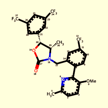 COc1ccc(C)nc1-c1ccc(C(F)(F)F)cc1CN1C(=O)O[C@H](c2cc(C(F)(F)F)cc(C(F)(F)F)c2)[C@@H]1C